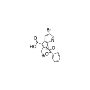 O=C(O)c1c(CBr)n(S(=O)(=O)c2ccccc2)c2ncc(Br)cc12